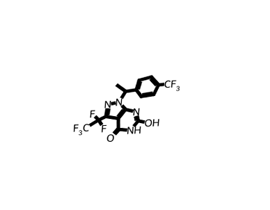 CC(c1ccc(C(F)(F)F)cc1)n1nc(C(F)(F)C(F)(F)F)c2c(=O)[nH]c(O)nc21